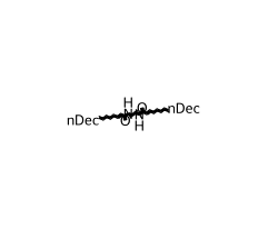 CCCCCCCCCCCCCCCC=CC(=O)NCCNC(=O)C=CCCCCCCCCCCCCCCC